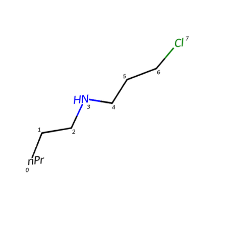 CCCCCNCCCCl